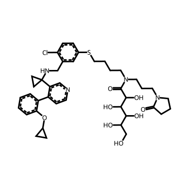 O=C1CCCN1CCCN(CCCCSc1ccc(Cl)c(CNC2(c3cnccc3-c3ccccc3OC3CC3)CC2)c1)C(=O)C(O)C(O)C(O)C(O)CO